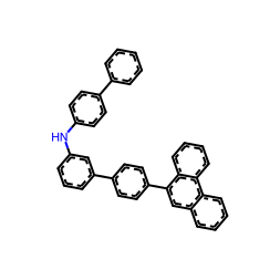 c1ccc(-c2ccc(Nc3cccc(-c4ccc(-c5cc6ccccc6c6ccccc56)cc4)c3)cc2)cc1